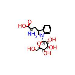 N[C@@H](Cc1cn([C@H]2O[C@H](CO)[C@@H](O)[C@H](O)[C@@H]2O)c2ccccc12)C(=O)O